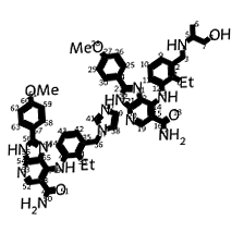 CCc1c(CNC(C)CO)cccc1Nc1c(C(N)=O)cnc2[nH]c(-c3ccc(OC)cc3)nc12.CCc1c(Cn2ccnc2)cccc1Nc1c(C(N)=O)cnc2[nH]c(-c3ccc(OC)cc3)nc12